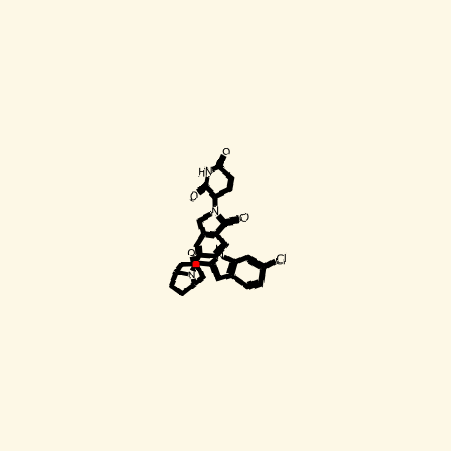 O=C1CCC(N2Cc3cc(C4CC5CCC(C4)N5C(=O)c4cc5ccc(Cl)cc5[nH]4)ccc3C2=O)C(=O)N1